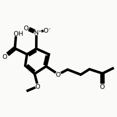 COc1cc(C(=O)O)c([N+](=O)[O-])cc1OCCCC(C)=O